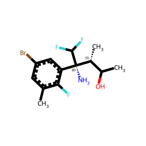 Cc1cc(Br)cc([C@@](N)(C(F)F)[C@H](C)C(C)O)c1F